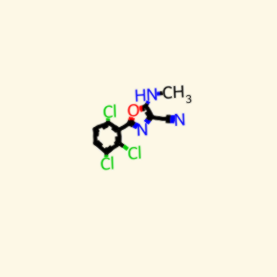 CNc1oc(-c2c(Cl)ccc(Cl)c2Cl)nc1C#N